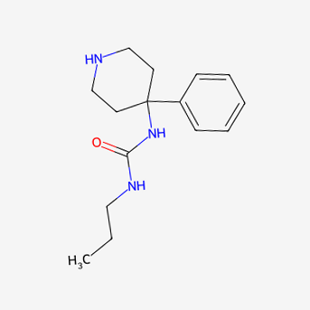 CCCNC(=O)NC1(c2ccccc2)CCNCC1